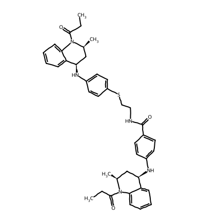 CCC(=O)N1c2ccccc2[C@H](Nc2ccc(SCCNC(=O)c3ccc(N[C@@H]4C[C@H](C)N(C(=O)CC)c5ccccc54)cc3)cc2)C[C@@H]1C